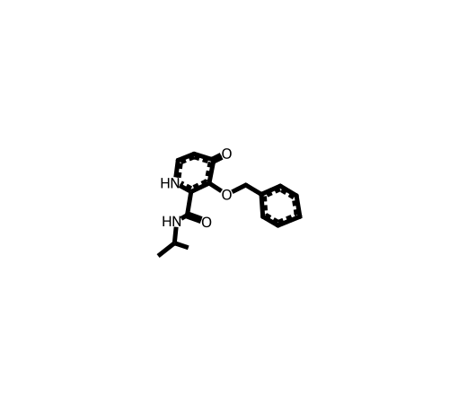 CC(C)NC(=O)c1[nH]ccc(=O)c1OCc1ccccc1